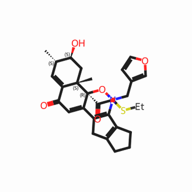 CCSCC(=O)[C@]12ON(Cc3ccoc3)C3=C(CC4=C3CCC4)C1=CC(=O)C1=C[C@H](C)[C@@H](O)C[C@@]12C